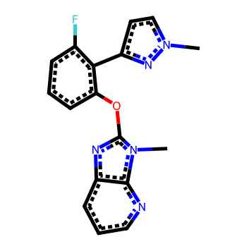 Cn1ccc(-c2c(F)cccc2Oc2nc3cccnc3n2C)n1